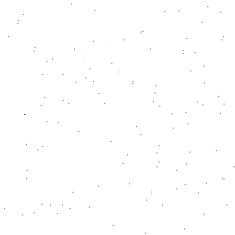 OCc1ccc(CCCC(F)(F)F)cc1